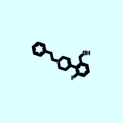 OCc1cccc(F)c1C1=CCN(CCc2ccccc2)CC1